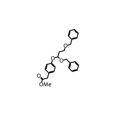 COC(=O)Cc1ccc(OC(CCOCc2ccccc2)OCc2ccccc2)cc1